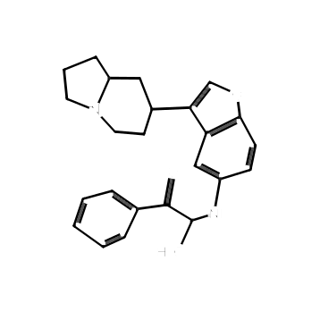 CC(Nc1ccc2occ(C3CCN4CCCC4C3)c2c1)C(=O)c1ccccc1